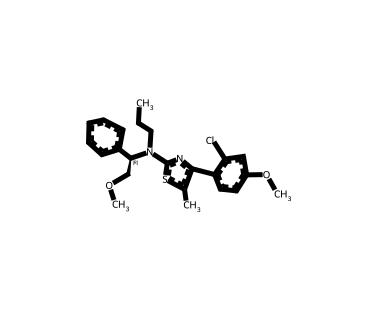 CCCN(c1nc(-c2ccc(OC)cc2Cl)c(C)s1)[C@@H](COC)c1ccccc1